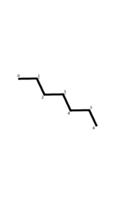 C[CH]C[CH]CCC